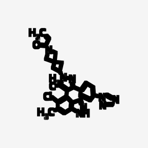 C=CC(=O)N1CC2(CC(n3nc(-c4ccc(-n5cncn5)cc4)c(-c4c(Cl)c(C)cc5[nH]ncc45)c3C)C2)C1